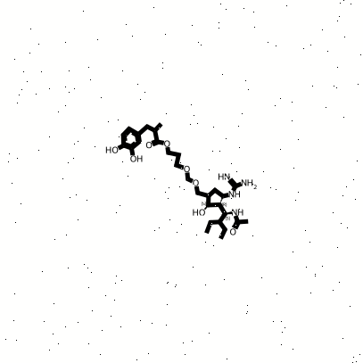 CCC(CC)[C@H](NC(C)=O)[C@H]1C(NC(=N)N)CC(COCOCCCOC(=O)C(C)Cc2ccc(O)c(O)c2)[C@H]1O